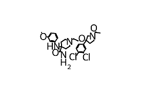 COc1cccc(NC2(C(N)=O)CCN(CCOC3(c4ccc(Cl)c(Cl)c4)CCN(C(C)=O)C3)CC2)c1